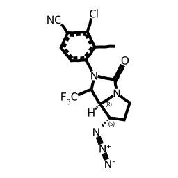 Cc1c(N2C(=O)N3CC[C@H](N=[N+]=[N-])[C@H]3C2C(F)(F)F)ccc(C#N)c1Cl